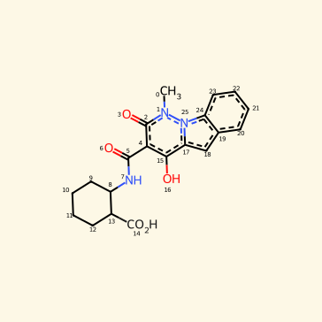 Cn1c(=O)c(C(=O)NC2CCCCC2C(=O)O)c(O)c2cc3ccccc3n21